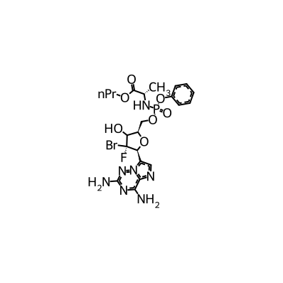 CCCOC(=O)[C@H](C)NP(=O)(OC[C@H]1O[C@@H](c2cnc3c(N)nc(N)nn23)[C@@](F)(Br)C1O)Oc1ccccc1